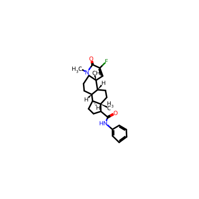 CN1C(=O)C(F)=C[C@@]2(C)C1CC[C@@H]1[C@H]2CC[C@]2(C)C(C(=O)Nc3ccccc3)CC[C@@H]12